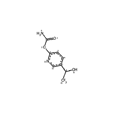 NC(=O)Oc1ccc(C(O)C(F)(F)F)cn1